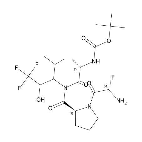 CC(C)C(C(O)C(F)(F)F)N(C(=O)[C@H](C)NC(=O)OC(C)(C)C)C(=O)[C@@H]1CCCN1C(=O)[C@H](C)N